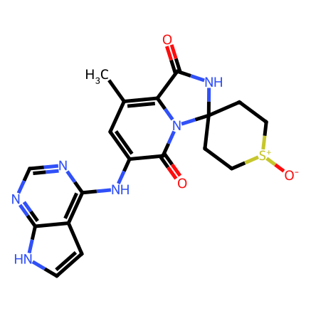 Cc1cc(Nc2ncnc3[nH]ccc23)c(=O)n2c1C(=O)NC21CC[S+]([O-])CC1